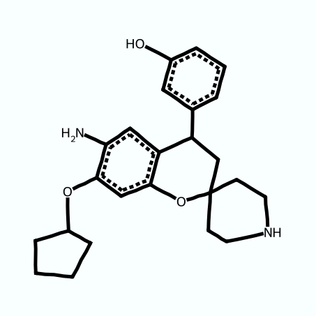 Nc1cc2c(cc1OC1CCCC1)OC1(CCNCC1)CC2c1cccc(O)c1